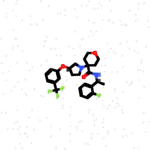 C[C@H](NC(=O)C1(N2CC[C@@H](Oc3cccc(C(F)(F)F)c3)C2)CCOCC1)c1ccccc1F